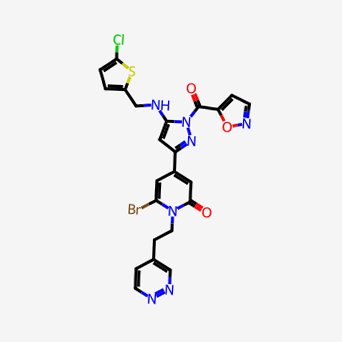 O=C(c1ccno1)n1nc(-c2cc(Br)n(CCc3ccnnc3)c(=O)c2)cc1NCc1ccc(Cl)s1